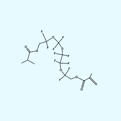 C=C(C)C(=O)OCC(F)(F)OC(F)(F)C(F)(F)OC(F)(F)OC(F)(F)COC(=O)C(C)C